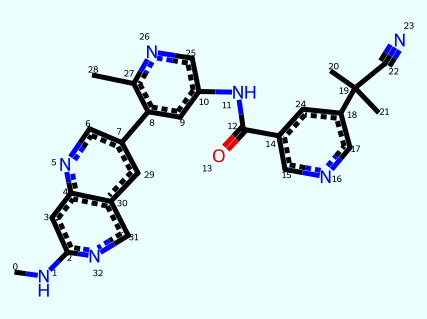 CNc1cc2ncc(-c3cc(NC(=O)c4cncc(C(C)(C)C#N)c4)cnc3C)cc2cn1